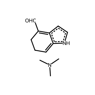 CN(C)C.O=CC1=c2cc[nH]c2=CCC1